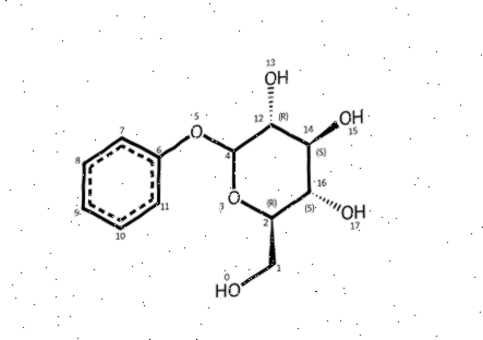 OC[C@H]1OC(Oc2ccccc2)[C@H](O)[C@@H](O)[C@@H]1O